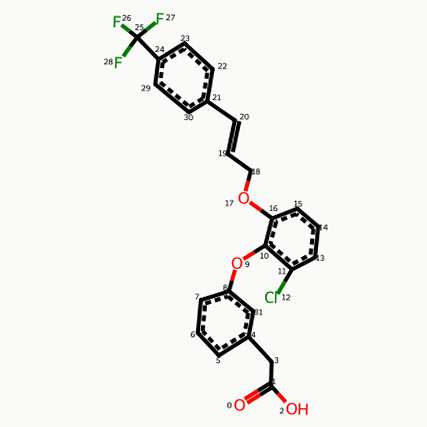 O=C(O)Cc1cccc(Oc2c(Cl)cccc2OCC=Cc2ccc(C(F)(F)F)cc2)c1